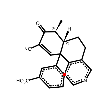 C[C@@H]1C(=O)C(C#N)=CC2(c3cccc(C(=O)O)c3)c3ncncc3CC[C@@H]12